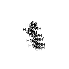 C=C1CC23CCC4[C@](C)(C(=O)OC5OC(CO)C(O)C(O)C5O)CCC[C@@]4(C)[C@@H]2CCC1(OC1OC(CO)C(O)C(OC2OC(CO)C(O)C(O)C2O)C1O)C3